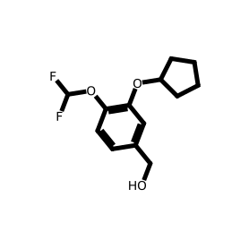 OCc1ccc(OC(F)F)c(OC2CCCC2)c1